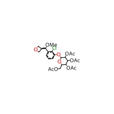 COC(=C1COC1)c1cccc(OC2OC(COC(C)=O)C(OC(C)=O)C(OC(C)=O)C2OC(C)=O)c1Cl